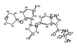 CC(C)S(=O)(=O)NC(=O)c1cnn2ccc(N3C[C@@H](F)CC3c3cc(F)ccc3OC3CCOCC3)cc12